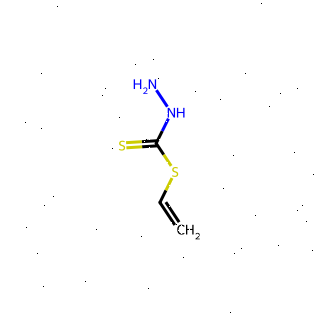 C=CSC(=S)NN